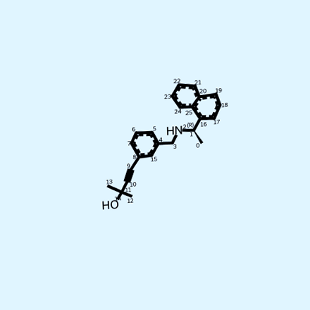 C[C@@H](NCc1cccc(C#CC(C)(C)O)c1)c1cccc2ccccc12